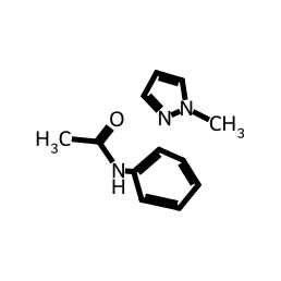 CC(=O)Nc1ccccc1.Cn1cccn1